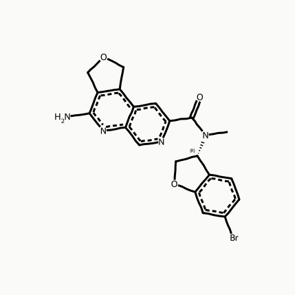 CN(C(=O)c1cc2c3c(c(N)nc2cn1)COC3)[C@H]1COc2cc(Br)ccc21